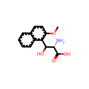 COc1ccc2ccccc2c1C(O)[C@H](N)C(=O)O